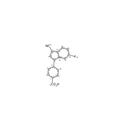 N#Cc1cc(-c2ccc(C(=O)O)cc2)n2cc(F)ccc12